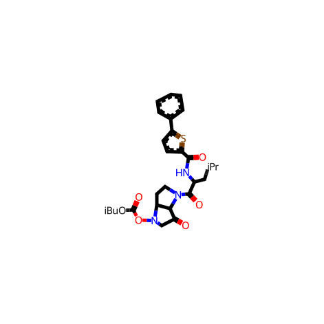 CC(C)COC(=O)ON1CC(=O)C2C1CCN2C(=O)C(CC(C)C)NC(=O)c1ccc(-c2ccccc2)s1